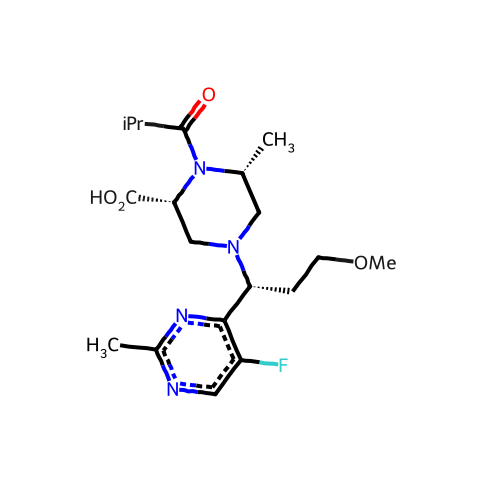 COCC[C@H](c1nc(C)ncc1F)N1C[C@@H](C)N(C(=O)C(C)C)[C@@H](C(=O)O)C1